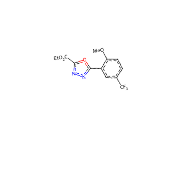 CCOC(=O)c1nnc(-c2cc(C(F)(F)F)ccc2OC)o1